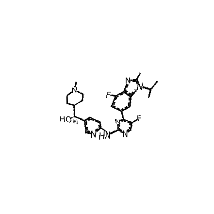 Cc1nc2c(F)cc(-c3nc(Nc4ccc([C@H](O)C5CCN(C)CC5)cn4)ncc3F)cc2n1C(C)C